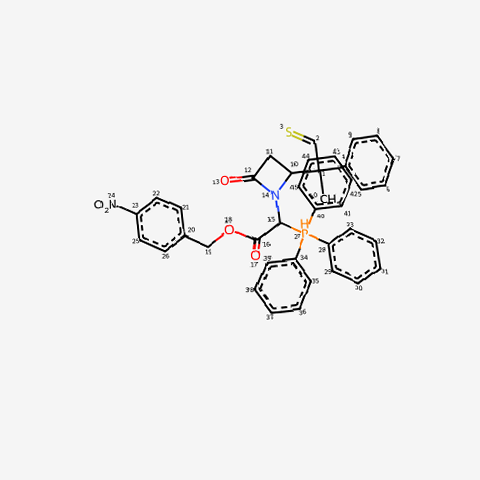 CC(C=S)(c1ccccc1)C1CC(=O)N1C(C(=O)OCc1ccc([N+](=O)[O-])cc1)[PH](c1ccccc1)(c1ccccc1)c1ccccc1